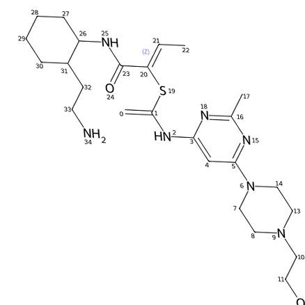 C=C(Nc1cc(N2CCN(CCO)CC2)nc(C)n1)S/C(=C\C)C(=O)NC1CCCCC1CCN